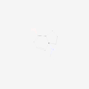 CNC12C=CC=C(O)C1CCC2